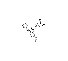 COc1ccc2c(c1)c(COC(C)(C)C(=O)O)nn2Cc1ccccc1